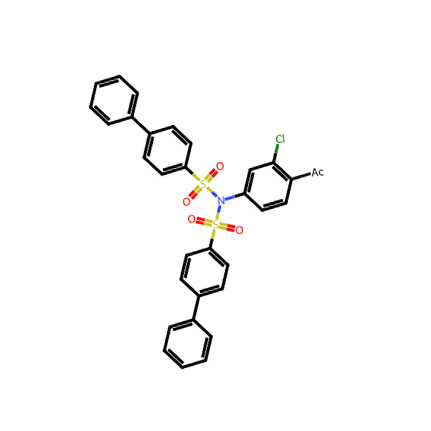 CC(=O)c1ccc(N(S(=O)(=O)c2ccc(-c3ccccc3)cc2)S(=O)(=O)c2ccc(-c3ccccc3)cc2)cc1Cl